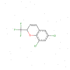 FC(F)(F)C1C=Cc2cc(Cl)cc(Cl)c2O1